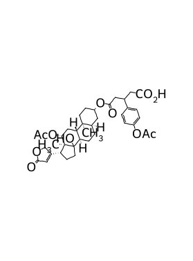 CC(=O)Oc1ccc(C(CC(=O)O)CC(=O)O[C@H]2CC[C@@]3(C)[C@H](CC[C@@H]4[C@@H]3C[C@@H](OC(C)=O)[C@]3(C)[C@@H](C5=CC(=O)OC5)CCC43O)C2)cc1